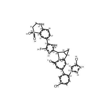 O=c1cc(-c2cc(Cl)ccc2-n2cc(Cl)nn2)cc2n1C(c1nc(F)c(-c3ccc4c(c3)S(=O)(=O)CCN4)[nH]1)C1CC21